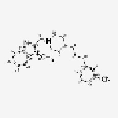 Cn1c(CN2CCC(CCCc3cccc(C#N)c3)CC2)nc2ccccc21